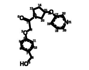 O=C(COc1ccc(CO)cc1)N1CCC(Oc2cccnc2)C1